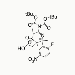 CC(C)(C)OC(=O)N(C(=O)OC(C)(C)C)C1=N[C@](C)(c2cc([N+](=O)[O-])ccc2F)C(C)(CCO)S(=O)(=O)C1(C)C